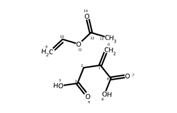 C=C(CC(=O)O)C(=O)O.C=COC(C)=O